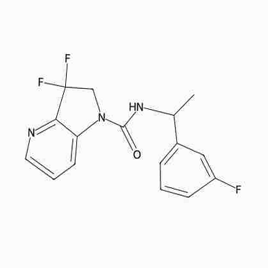 CC(NC(=O)N1CC(F)(F)c2ncccc21)c1cccc(F)c1